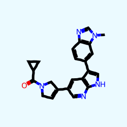 Cn1cnc2ccc(-c3c[nH]c4ncc(C5=CCN(C(=O)C6CC6)C5)cc34)cc21